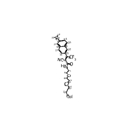 N#C/C(C(=O)NCCOCCOCCO)=C(\c1ccc2cc(N3CC3)ccc2c1)C(F)(F)F